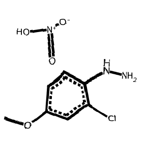 COc1ccc(NN)c(Cl)c1.O=[N+]([O-])O